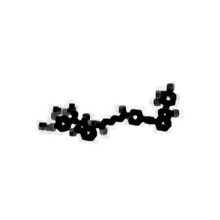 CCOc1cc(C(C[S+](C)[O-])N2C(=O)c3cccc(NC(=O)CCCCC(=O)N4CCC(C#Cc5cccc6c5CN(C5CCC(=O)NC5=O)C6=O)CC4)c3C2=O)ccc1OC